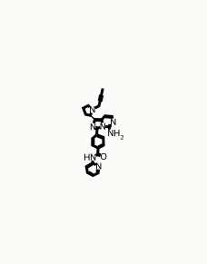 CC#CCN1CCC[C@@H]1c1nc(-c2ccc(C(=O)Nc3ccccn3)cc2)n2c(N)nccc12